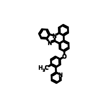 Cc1ccc(Oc2ccc3c4ccccc4n4c5ccccc5nc4c3c2)cc1-c1ccccn1